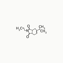 C=CCN1C(=O)C2CC=C(C(C)C)CC2C1=O